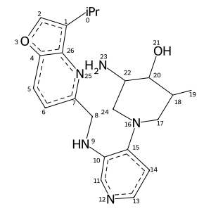 CC(C)c1coc2ccc(CNc3cnccc3N3CC(C)C(O)C(N)C3)nc12